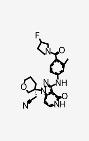 Cc1cc(Nc2nn([C@]3(CC#N)CCCOC3)c3cc[nH]c(=O)c23)ccc1C(=O)N1CCC(F)C1